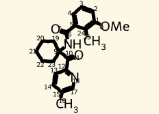 COc1cccc(C(=O)NC2(C(=O)c3ccc(C)cn3)CCCCC2)c1C